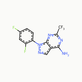 Nc1nc(C(F)(F)F)nc2c1cnn2-c1ccc(F)cc1F